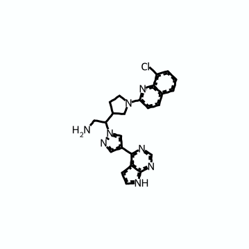 NCC(C1CCN(c2ccc3cccc(Cl)c3n2)C1)n1cc(-c2ncnc3[nH]ccc23)cn1